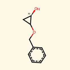 O[C@@H]1CC1OCc1ccccc1